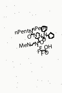 CCCCCN(CCCCC)C(=O)N1CCN(C(=O)N(c2ccccc2)c2ccccc2)C(C(=O)N(C)CCNC)C1.O=C(O)C(F)(F)F